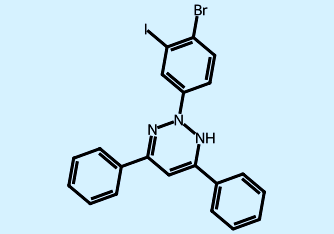 Brc1ccc(N2N=C(c3ccccc3)C=C(c3ccccc3)N2)cc1I